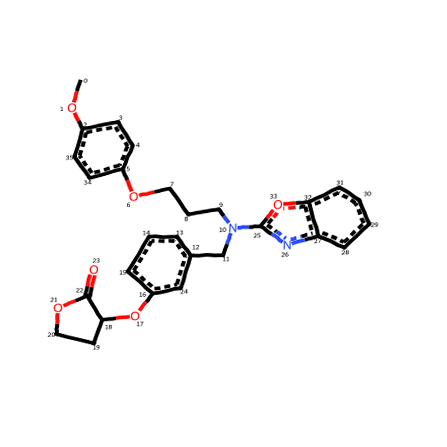 COc1ccc(OCCCN(Cc2cccc(OC3CCOC3=O)c2)c2nc3ccccc3o2)cc1